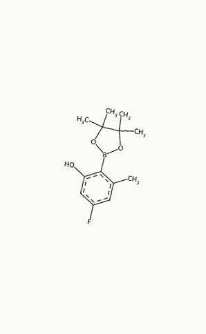 Cc1cc(F)cc(O)c1B1OC(C)(C)C(C)(C)O1